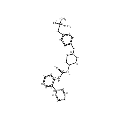 CC[N+](C)(C)Cc1ccc(CN2CCC(OC(=O)Nc3ccccc3-c3ccccc3)CC2)cc1